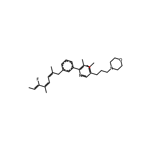 C\C=C(/C=N\C(=C(\C)CC)c1cccc(C\C(C)=C/C=C(C)\C(F)=C\C)c1)CCCN1CCOCC1